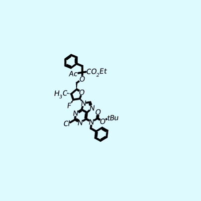 CCOC(=O)C(Cc1ccccc1)(OC[C@H]1O[C@@H](n2cnc3c(N(Cc4ccccc4)C(=O)OC(C)(C)C)nc(Cl)nc32)[C@@H](F)[C@@H]1C)C(C)=O